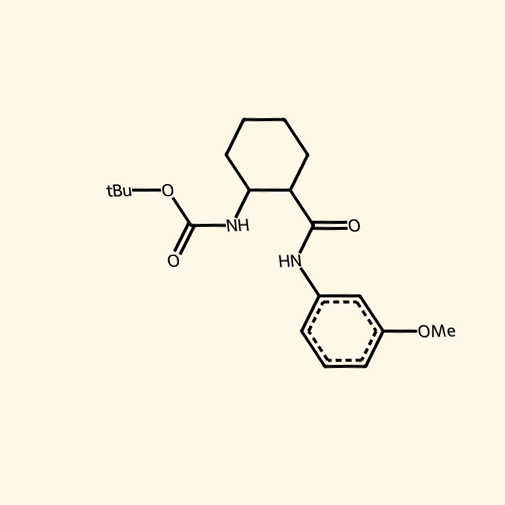 COc1cccc(NC(=O)C2CCCCC2NC(=O)OC(C)(C)C)c1